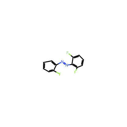 Fc1ccccc1/N=N/c1c(F)cccc1F